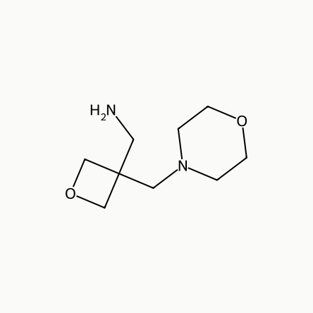 NCC1(CN2CCOCC2)COC1